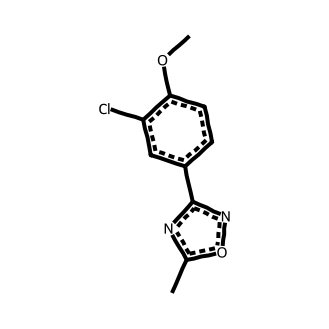 COc1ccc(-c2noc(C)n2)cc1Cl